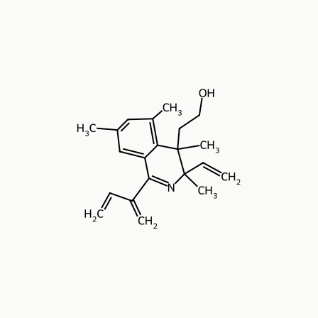 C=CC(=C)C1=NC(C)(C=C)C(C)(CCO)c2c(C)cc(C)cc21